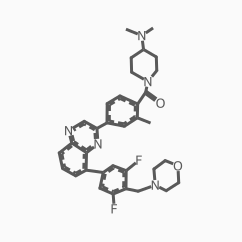 Cc1cc(-c2cnc3cccc(-c4cc(F)c(CN5CCOCC5)c(F)c4)c3n2)ccc1C(=O)N1CCC(N(C)C)CC1